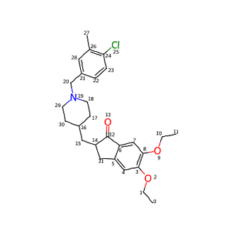 CCOc1cc2c(cc1OCC)C(=O)C(CC1CCN(Cc3ccc(Cl)c(C)c3)CC1)C2